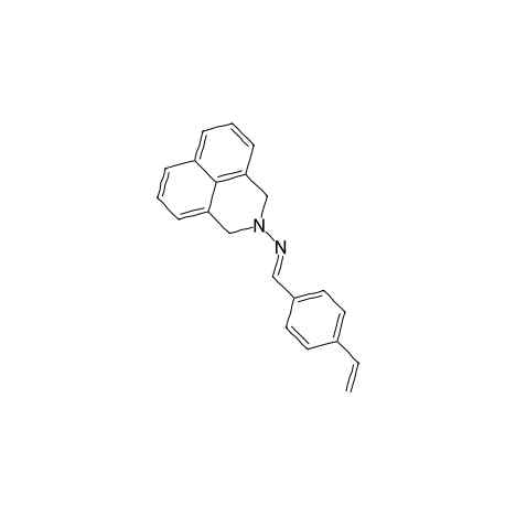 C=Cc1ccc(C=NN2Cc3cccc4cccc(c34)C2)cc1